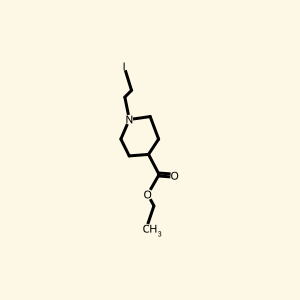 CCOC(=O)C1CCN(CCI)CC1